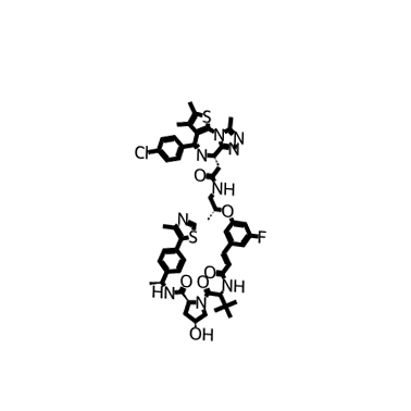 Cc1ncsc1-c1ccc([C@H](C)NC(=O)[C@@H]2C[C@@H](O)CN2C(=O)[C@@H](NC(=O)/C=C/c2cc(F)cc(O[C@H](C)CNC(=O)C[C@@H]3N=C(c4ccc(Cl)cc4)c4c(sc(C)c4C)-n4c(C)nnc43)c2)C(C)(C)C)cc1